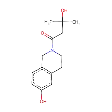 CC(C)(O)CC(=O)N1CCc2cc(O)ccc2C1